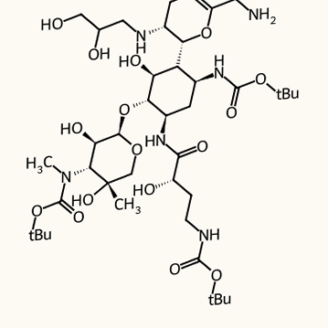 CN(C(=O)OC(C)(C)C)[C@@H]1[C@@H](O)[C@@H](O[C@H]2[C@H](NC(=O)[C@@H](O)CCNC(=O)OC(C)(C)C)C[C@H](NC(=O)OC(C)(C)C)C([C@H]3OC(CN)=CC[C@H]3NCC(O)CO)[C@@H]2O)OC[C@]1(C)O